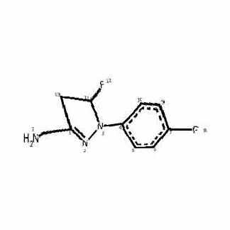 NC1=NN(c2ccc(F)cc2)C(F)C1